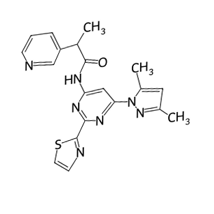 Cc1cc(C)n(-c2cc(NC(=O)C(C)c3cccnc3)nc(-c3nccs3)n2)n1